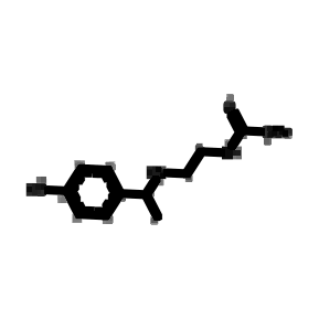 COC(=O)NCCNC(C)c1ccc(O)cc1